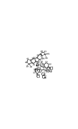 CCC1C=C(C(C)(C)C)C=[C]1[Zr+2](=[CH]c1ccc(Cl)cc1)(=[CH]c1ccc(Cl)cc1)[CH]1c2cc3c(cc2-c2cc4c(cc21)C(C)(C)C=C4)C=CC3(C)C.[Cl-].[Cl-]